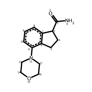 NC(=O)C1CCc2c1cccc2N1CCOCC1